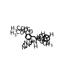 COc1c(CC(NC(=O)Cn2cncn2)B2O[C@@H]3C[C@@H]4C[C@@H](C4(C)C)[C@]3(C)O2)cccc1C(=O)OC(C)(C)C